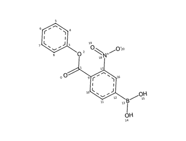 O=C(Oc1ccccc1)c1ccc(B(O)O)cc1[N+](=O)[O-]